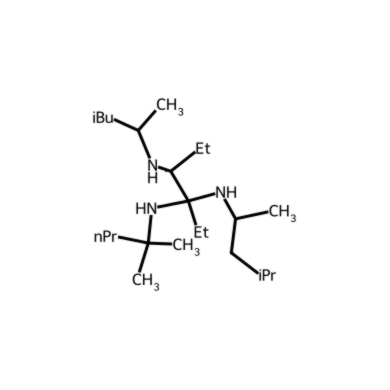 CCCC(C)(C)NC(CC)(NC(C)CC(C)C)[C](CC)NC(C)C(C)CC